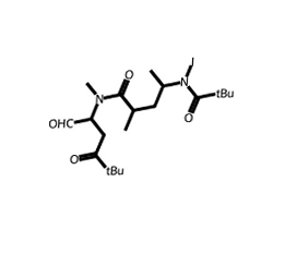 CC(CC(C)N(I)C(=O)C(C)(C)C)C(=O)N(C)C(C=O)CC(=O)C(C)(C)C